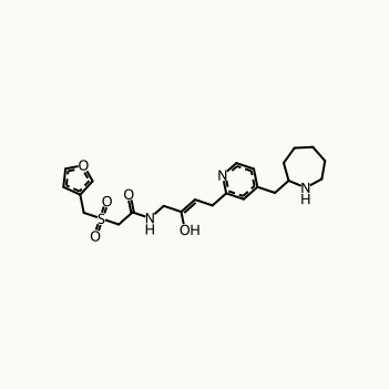 O=C(CS(=O)(=O)Cc1ccoc1)NCC(O)=CCc1cc(CC2CCCCCN2)ccn1